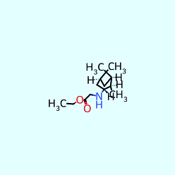 CCOC(=O)CN[C@@H]1C[C@@H]2C[C@H]([C@H]1C)C2(C)C